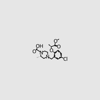 COC(=O)[C@H](C)Oc1ccc(Cl)cc1CN1CCN(C(=O)O)[C@@H](C)C1